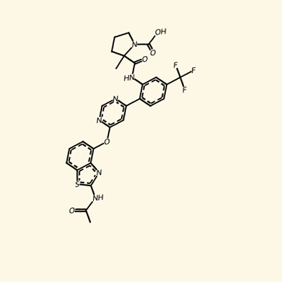 CC(=O)Nc1nc2c(Oc3cc(-c4ccc(C(F)(F)F)cc4NC(=O)C4(C)CCCN4C(=O)O)ncn3)cccc2s1